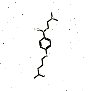 CC(C)CCCSc1ccc(C(O)CCN(C)C)cc1